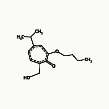 CCCCOc1cc(C(C)C)ccc(CO)c1=O